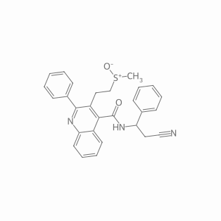 C[S+]([O-])CCc1c(-c2ccccc2)nc2ccccc2c1C(=O)NC(CC#N)c1ccccc1